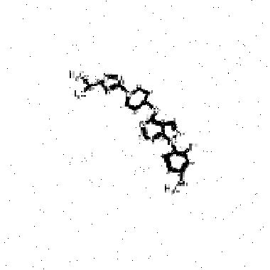 COc1ccc(-n2ncc3c(OC4CCN(c5nc(C(C)C)no5)CC4)ncnc32)c(F)c1